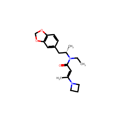 CCN(C(=O)/C=C(\C)N1CCC1)[C@@H](C)Cc1ccc2c(c1)OCO2